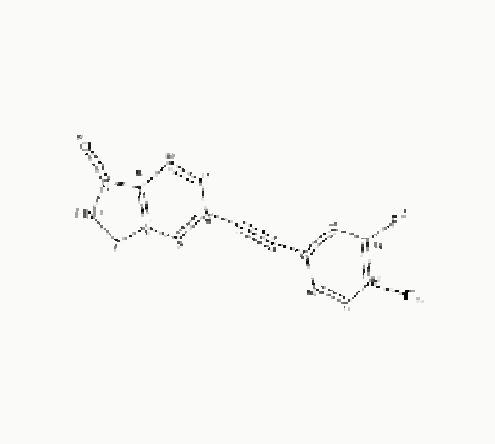 O=C1NCc2cc(C#Cc3ccc(F)c(F)c3)ccc21